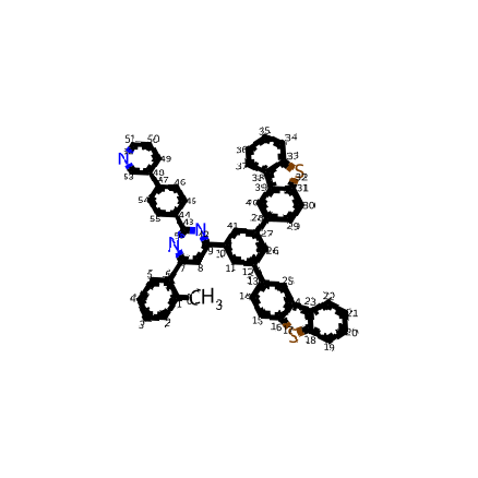 Cc1ccccc1-c1cc(-c2cc(-c3ccc4sc5ccccc5c4c3)cc(-c3ccc4sc5ccccc5c4c3)c2)nc(-c2ccc(-c3cccnc3)cc2)n1